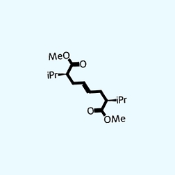 COC(=O)[C@@H](C/C=C/C[C@H](C(=O)OC)C(C)C)C(C)C